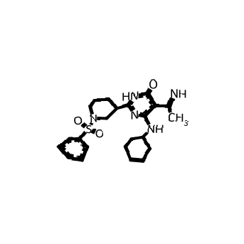 CC(=N)c1c(NC2CCCCC2)nc(C2CCCN(S(=O)(=O)c3ccccc3)C2)[nH]c1=O